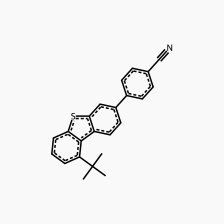 CC(C)(C)c1cccc2sc3cc(-c4ccc(C#N)cc4)ccc3c12